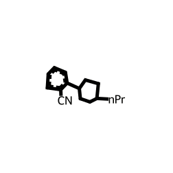 CCCC1CCC(c2ccccc2C#N)CC1